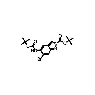 CC(C)(C)OC(=O)Nc1cc2cn(C(=O)OC(C)(C)C)nc2cc1Br